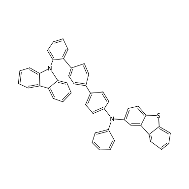 c1ccc(N(c2ccc(-c3ccc(-c4ccccc4-n4c5ccccc5c5ccccc54)cc3)cc2)c2ccc3sc4ccccc4c3c2)cc1